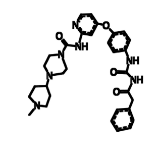 CN1CCC(N2CCN(C(=O)Nc3cc(Oc4ccc(NC(=O)NC(=O)Cc5ccccc5)cc4)ccn3)CC2)CC1